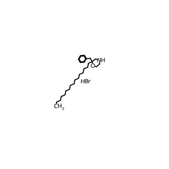 Br.CCCCCCCCCCCCCCCCC1(Cc2ccccc2)CNCCO1